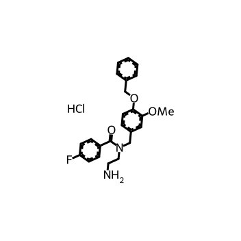 COc1cc(CN(CCN)C(=O)c2ccc(F)cc2)ccc1OCc1ccccc1.Cl